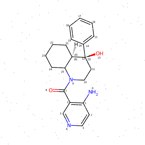 Nc1ccncc1C(=O)N1CC[C@@](O)(c2ccccc2)[C@@H]2CCCCC21